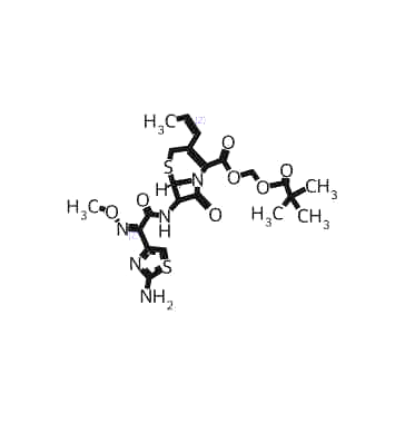 C/C=C\C1=C(C(=O)OCOC(=O)C(C)(C)C)N2C(=O)C(NC(=O)/C(=N\OC)c3csc(N)n3)[C@H]2SC1